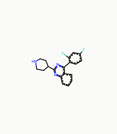 Fc1ccc(-c2nc(C3CCNCC3)nc3ccccc23)c(F)c1